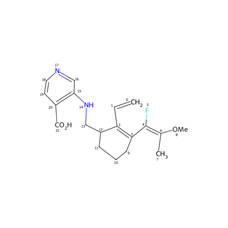 C=CC1=C(/C(F)=C(\C)OC)CCCC1CNc1cnccc1C(=O)O